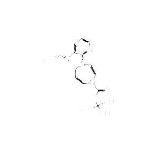 CCNc1cccnc1N1C=CN(C(=O)OC(C)(C)C)C=CC1